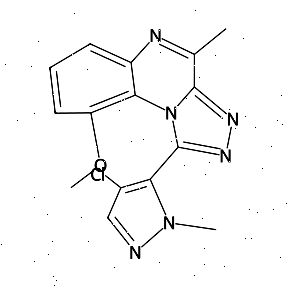 COc1cccc2nc(C)c3nnc(-c4c(Cl)cnn4C)n3c12